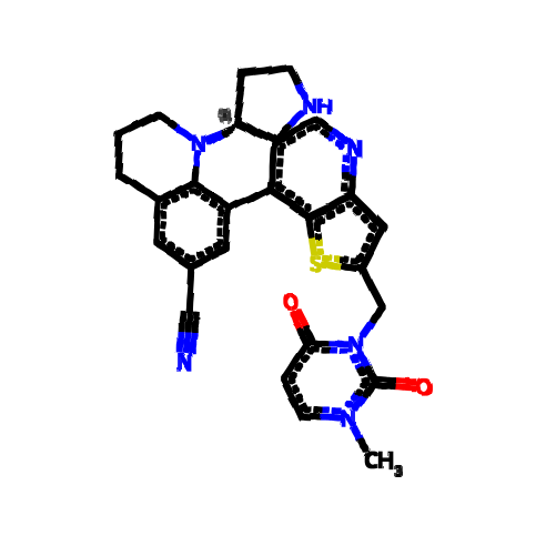 Cn1ccc(=O)n(Cc2cc3nccc(-c4cc(C#N)cc5c4N([C@H]4CCNC4)CCC5)c3s2)c1=O